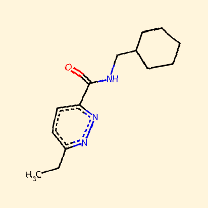 CCc1ccc(C(=O)NCC2CCCCC2)nn1